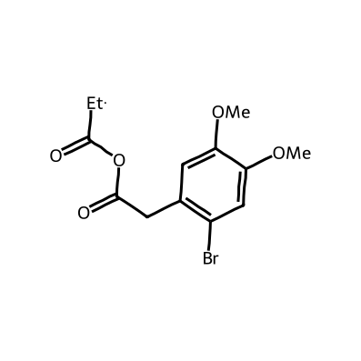 C[CH]C(=O)OC(=O)Cc1cc(OC)c(OC)cc1Br